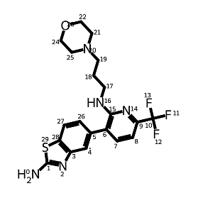 Nc1nc2[c]c(-c3ccc(C(F)(F)F)nc3NCCCN3CCOCC3)ccc2s1